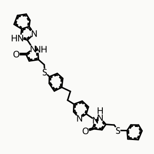 O=c1cc(CSc2ccccc2)[nH]n1-c1ccc(CCc2ccc(SCc3cc(=O)n(-c4nc5ccccc5[nH]4)[nH]3)cc2)cn1